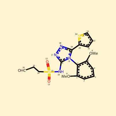 COc1cccc(OC)c1-n1c(NS(=O)(=O)CCC=O)nnc1-c1cccs1